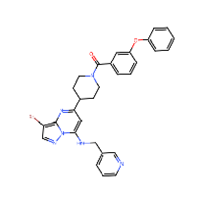 O=C(c1cccc(Oc2ccccc2)c1)N1CCC(c2cc(NCc3cccnc3)n3ncc(Br)c3n2)CC1